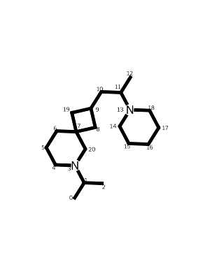 CC(C)N1CCCC2(CC(CC(C)N3CCCCC3)C2)C1